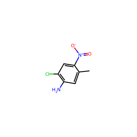 Cc1cc(N)c(Cl)cc1[N+](=O)[O-]